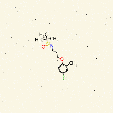 Cc1cc(Cl)ccc1OCC/C=N/[S@@+]([O-])C(C)(C)C